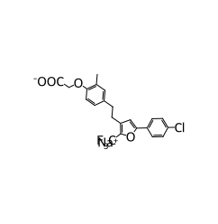 Cc1cc(CCc2cc(-c3ccc(Cl)cc3)oc2C(F)(F)F)ccc1OCC(=O)[O-].[Na+]